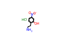 Cl.NCCc1ccc([N+](=O)[O-])cc1O